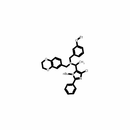 CCCCn1c(-c2ccccc2)nc(Cl)c1C(C)N(Cc1cccc(OCC)c1)Cc1ccc2c(c1)OCCO2